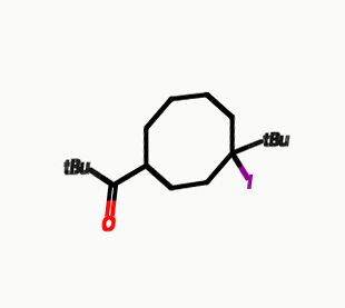 CC(C)(C)C(=O)C1CCCCC(I)(C(C)(C)C)CC1